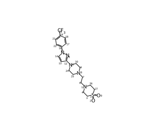 O=S1(=O)CCN(CCN2CCN(c3ccn(-c4ccc(C(F)(F)F)cc4)n3)CC2)CC1